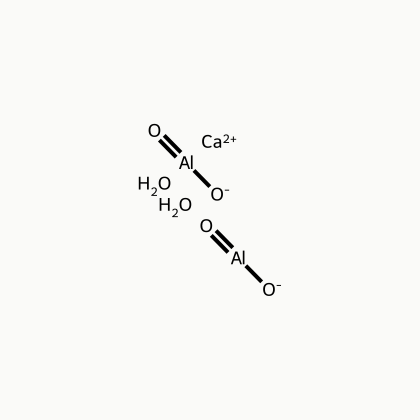 O.O.[Ca+2].[O]=[Al][O-].[O]=[Al][O-]